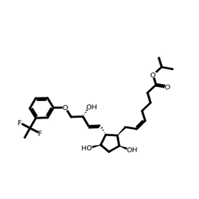 CC(C)OC(=O)CCC/C=C\C[C@@H]1[C@@H](/C=C/[C@@H](O)COc2cccc(C(C)(F)F)c2)[C@H](O)C[C@@H]1O